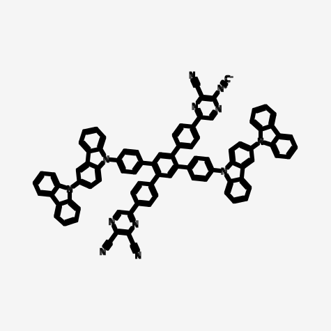 [C-]#[N+]c1ncc(-c2ccc(-c3cc(-c4ccc(-n5c6ccccc6c6cc(-n7c8ccccc8c8ccccc87)ccc65)cc4)c(-c4ccc(-c5cnc(C#N)c(C#N)n5)cc4)cc3-c3ccc(-n4c5ccccc5c5cc(-n6c7ccccc7c7ccccc76)ccc54)cc3)cc2)nc1C#N